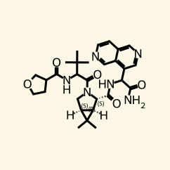 CC(C)(C)C(NC(=O)C1CCOC1)C(=O)N1C[C@H]2[C@@H]([C@H]1C(=O)NC(C(N)=O)c1cncc3ccncc13)C2(C)C